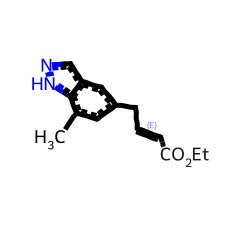 CCOC(=O)/C=C/Cc1cc(C)c2[nH]ncc2c1